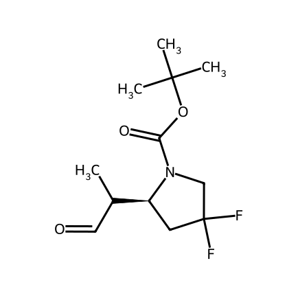 CC(C=O)[C@@H]1CC(F)(F)CN1C(=O)OC(C)(C)C